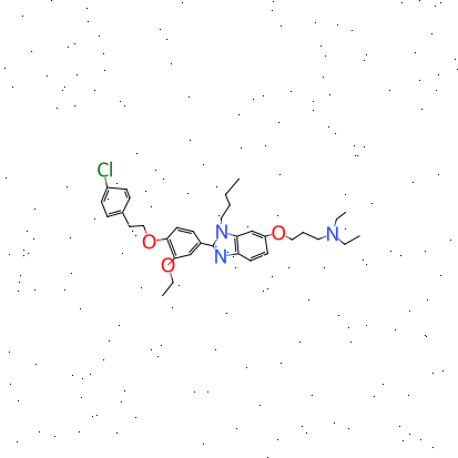 CCCCn1c(-c2ccc(OCCc3ccc(Cl)cc3)c(OCC)c2)nc2ccc(OCCCN(CC)CC)cc21